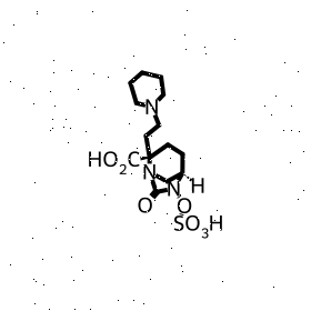 O=C1N(OS(=O)(=O)O)[C@@H]2CC[C@](CCN3CCCCC3)(C(=O)O)N1C2